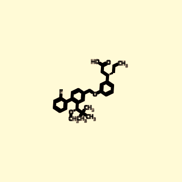 CCC[C@@H](CC(=O)O)c1cccc(OCc2ccc(-c3ccccc3F)c([C@@H](OC)C(C)(C)C)c2)c1